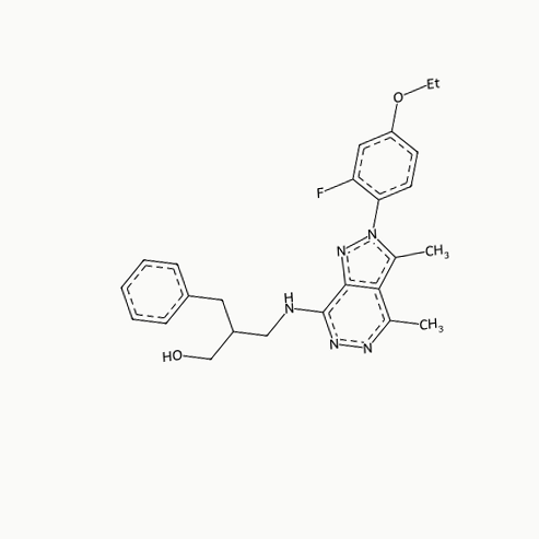 CCOc1ccc(-n2nc3c(NCC(CO)Cc4ccccc4)nnc(C)c3c2C)c(F)c1